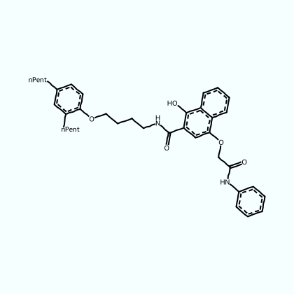 CCCCCc1ccc(OCCCCNC(=O)c2cc(OCC(=O)Nc3ccccc3)c3ccccc3c2O)c(CCCCC)c1